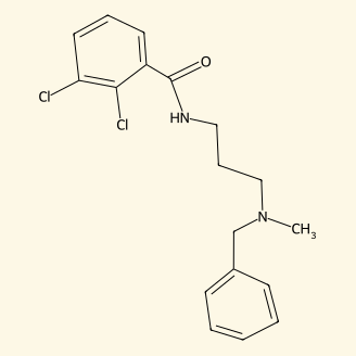 CN(CCCNC(=O)c1cccc(Cl)c1Cl)Cc1ccccc1